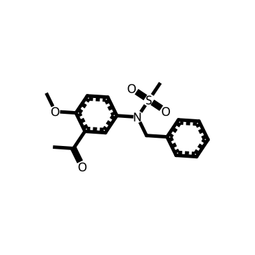 COc1ccc(N(Cc2ccccc2)S(C)(=O)=O)cc1C(C)=O